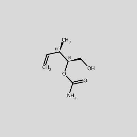 C=C[C@@H](C)[C@@H](CO)OC(N)=O